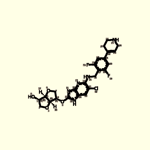 O[C@@H]1CO[C@H]2[C@@H]1OC[C@H]2Oc1nc2nc(NCc3c(F)cc(C4=CCNCC4)cc3F)c(Cl)cc2[nH]1